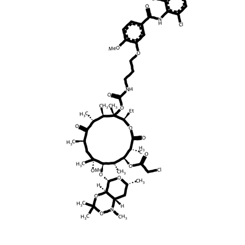 CC[C@H]1OC(=O)[C@H](C)[C@@H](OC(=O)CCl)[C@H](C)[C@@H](O[C@@H]2O[C@H](C)C[C@H]3[C@H]2OC(C)(C)ON3C)[C@](C)(OC)C[C@@H](C)C(=O)[C@H](C)[C@@H](C)[C@]1(C)OC(=O)NCCCOc1cc(C(=O)Nc2c(Cl)cncc2Cl)ccc1OC